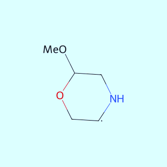 COC1CN[CH]CO1